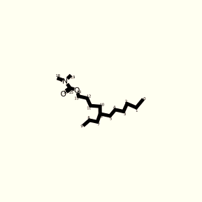 CCCCCCC(CCC)CCCCOC(=O)N(C)C